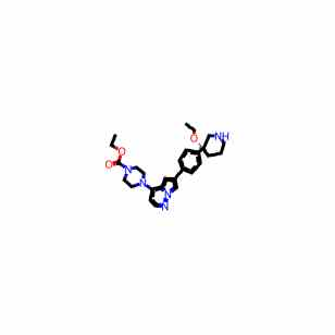 CCOC(=O)N1CCN(c2ccnn3cc(-c4ccc([C@]5(OCC)CCCNC5)cc4)cc23)CC1